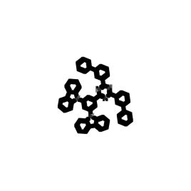 c1ccc(-c2cccc(-c3nc(-c4cccc(-c5ccccc5)c4)nc(-c4cc(-n5c6ccccc6c6ccccc65)cc(-n5c6ccccc6c6ccccc65)c4)n3)c2)cc1